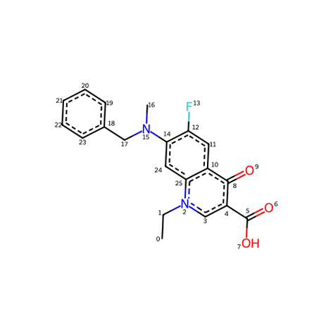 CCn1cc(C(=O)O)c(=O)c2cc(F)c(N(C)Cc3ccccc3)cc21